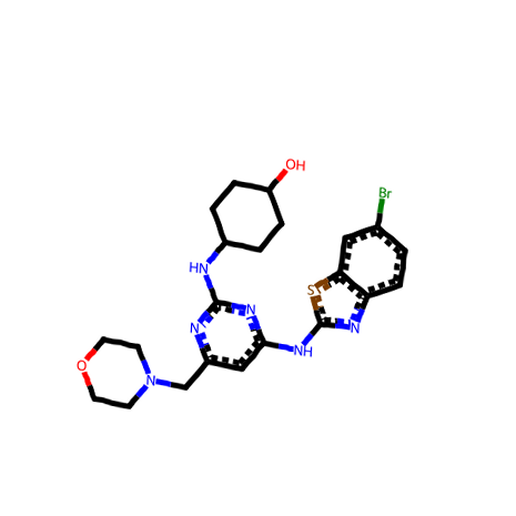 OC1CCC(Nc2nc(CN3CCOCC3)cc(Nc3nc4ccc(Br)cc4s3)n2)CC1